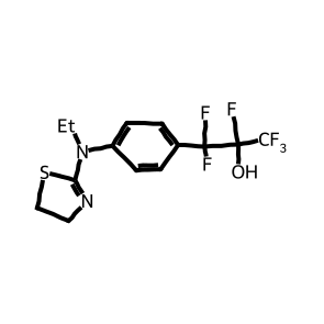 CCN(C1=NCCS1)c1ccc(C(F)(F)C(O)(F)C(F)(F)F)cc1